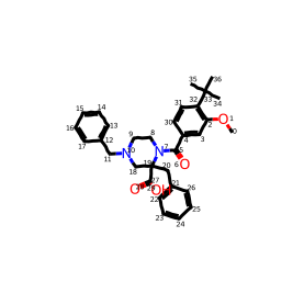 COc1cc(C(=O)N2CCN(Cc3ccccc3)CC2(Cc2ccccc2)C(=O)O)ccc1C(C)(C)C